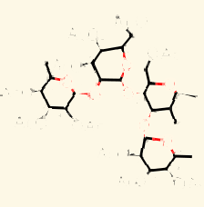 CC(=O)OCC1O[C@@H](C)C(C)[C@@H](O[C@@H]2OC(C)[C@@H](OC(C)=O)C(OC(C)=O)[C@H]2OC(C)=O)[C@@H]1O[C@@H]1OC(COC(C)=O)[C@H](OC(C)=O)[C@H](OC(C)=O)C1O[C@@H]1OC(C)[C@H](OC(C)=O)[C@H](OC(C)=O)C1OC(C)=O